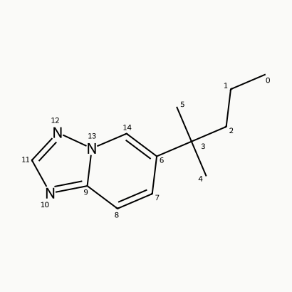 CCCC(C)(C)c1ccc2ncnn2c1